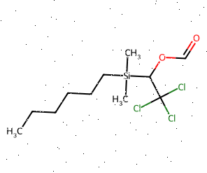 CCCCCC[Si](C)(C)C(OC=O)C(Cl)(Cl)Cl